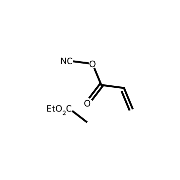 C=CC(=O)OC#N.CCOC(C)=O